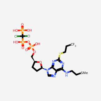 CSCCNc1nc(SCCC(F)(F)F)nc2c1ncn2[C@H]1CC[C@@H](COP(=O)(O)OP(=O)(O)C(Cl)(Cl)P(=O)(O)O)O1